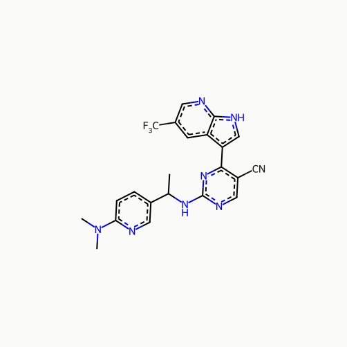 CC(Nc1ncc(C#N)c(-c2c[nH]c3ncc(C(F)(F)F)cc23)n1)c1ccc(N(C)C)nc1